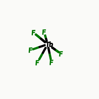 [F][Tb]([F])([F])([F])([F])[F]